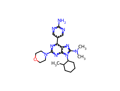 CC1CCCCC1n1c(N(C)C)nc2c(-c3cnc(N)nc3)nc(N3CCOCC3)nc21